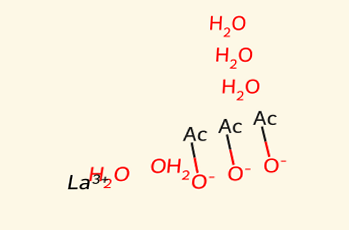 CC(=O)[O-].CC(=O)[O-].CC(=O)[O-].O.O.O.O.O.[La+3]